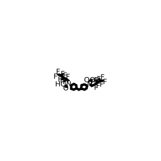 O=C(O)N(CC(F)(F)C(F)(F)C(F)(F)C(F)F)C1CCC(CC2CCC(N(CC(F)(F)C(F)(F)C(F)(F)C(F)F)C(=O)O)CC2)CC1